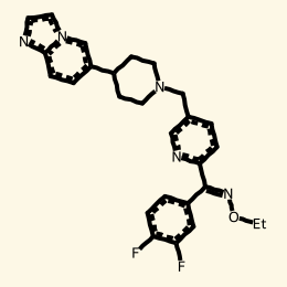 CCON=C(c1ccc(F)c(F)c1)c1ccc(CN2CCC(c3ccc4nccn4c3)CC2)cn1